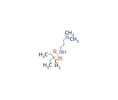 CCC(C)(CC)S(=O)(=O)NCCCN(C)C